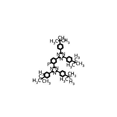 CC(C)(C)c1ccc(-c2nc(-c3ccc(C(C)(C)C)cc3)nc(-c3ccc(F)c(-c4nc(-c5ccc(C(C)(C)C)cc5)nc(-c5ccc(C(C)(C)C)cc5)n4)c3)n2)cc1